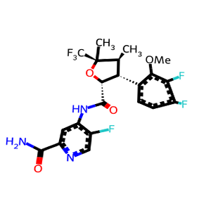 COc1c([C@@H]2[C@H](C(=O)Nc3cc(C(N)=O)ncc3F)O[C@@](C)(C(F)(F)F)[C@H]2C)ccc(F)c1F